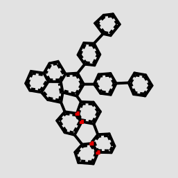 c1ccc(-c2ccc(-c3c(-c4ccc(-c5ccccc5)cc4)c4ccc5cccc6cc(-c7ccc(-c8ccccc8)cc7)c(c3-c3ccc(-c7ccccc7)cc3)c4c56)cc2)cc1